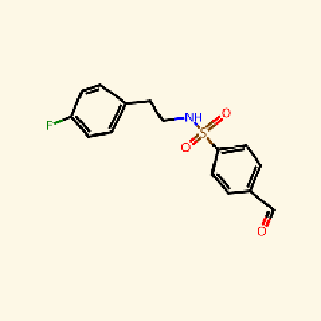 O=Cc1ccc(S(=O)(=O)NCCc2ccc(F)cc2)cc1